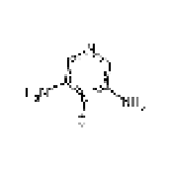 Nc1cncc(N)[n+]1[O-]